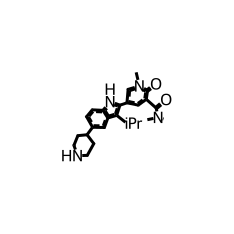 CC(C)c1c(-c2cc(C(=O)N(C)C)c(=O)n(C)c2)[nH]c2ccc(C3CCNCC3)cc12